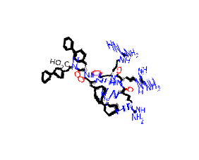 N=C(N)NCCC[C@H](NC(=O)[C@H](CCCNC(=N)N)NC(=O)[C@@H](N)CCCNC(=N)N)C(=O)N[C@@H](Cc1ccc(-c2ccccc2)cc1)C(=O)N[C@@H](Cc1ccc(-c2ccccc2)cc1)C(=O)N[C@@H](Cc1ccc(-c2ccccc2)cc1)C(=O)O